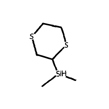 C[SiH](C)C1CSCCS1